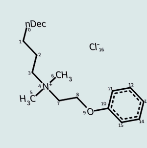 CCCCCCCCCCCCC[N+](C)(C)CCOc1ccccc1.[Cl-]